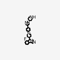 Fc1cccc2c1C(C1CCN(c3ccc(-c4cnn(C5CCNCC5)c4)cc3)CC1)n1cncc1-2